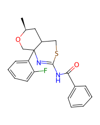 C[C@H]1CC2CSC(NC(=O)c3ccccc3)=NC2(c2ccccc2F)CO1